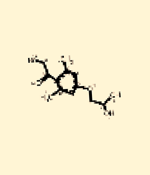 Cc1cc(OCC(O)O)cc(C)c1C(=O)CBr